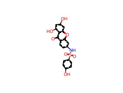 O=c1c2ccc(NS(=O)(=O)c3ccc(O)cc3)cc2oc2cc(O)cc(O)c12